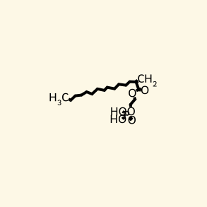 C=C(CCCCCCCCCCCCC)C(=O)OCCOP(=O)(O)O